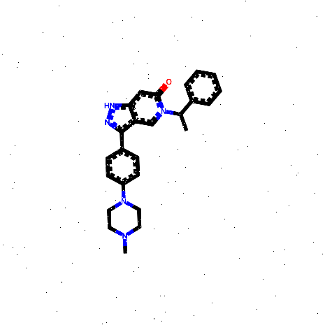 CC(c1ccccc1)n1cc2c(-c3ccc(N4CCN(C)CC4)cc3)n[nH]c2cc1=O